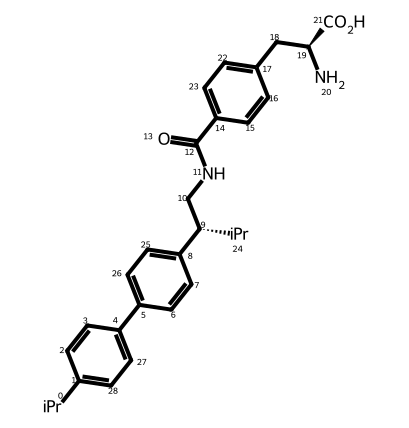 CC(C)c1ccc(-c2ccc([C@H](CNC(=O)c3ccc(C[C@H](N)C(=O)O)cc3)C(C)C)cc2)cc1